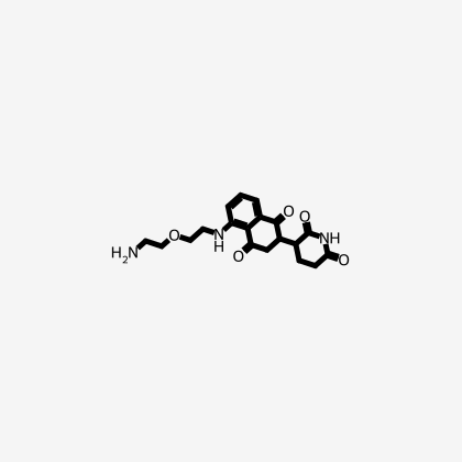 NCCOCCNc1cccc2c1C(=O)CC(C1CCC(=O)NC1=O)C2=O